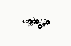 C=C1CCC(N2Cc3cc(O[C@H]4CCCC[C@@H]4N4CC(c5ccccc5C(F)(F)F)C4)ccc3C2=O)C(=O)N1